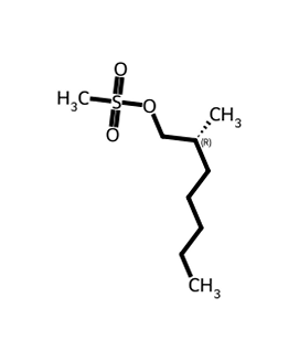 CCCCC[C@@H](C)COS(C)(=O)=O